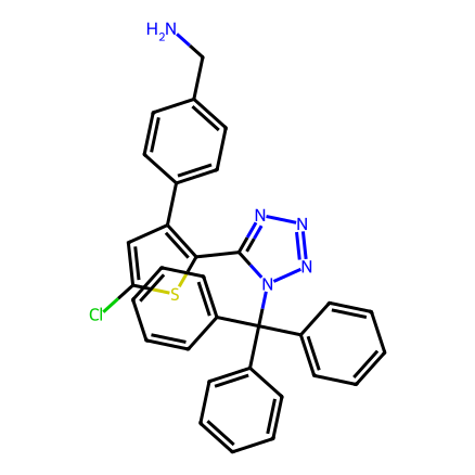 NCc1ccc(-c2cc(Cl)sc2-c2nnnn2C(c2ccccc2)(c2ccccc2)c2ccccc2)cc1